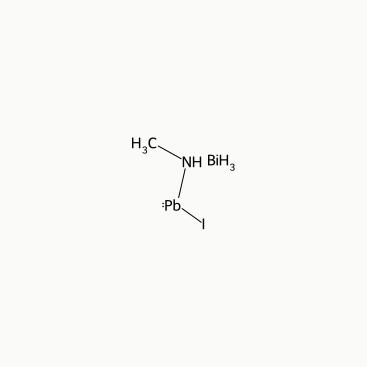 C[NH][Pb][I].[BiH3]